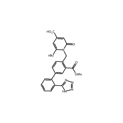 CCCCc1cc(C(=O)O)cc(=O)n1Cc1ccc(-c2ccccc2-c2nnn[nH]2)cc1C(=O)OC